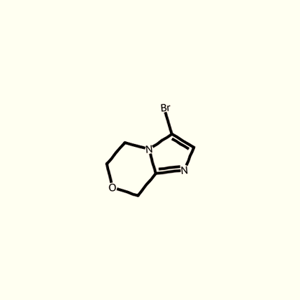 Brc1cnc2n1CCOC2